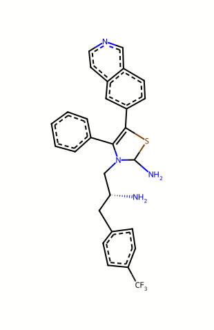 NC1SC(c2ccc3cnccc3c2)=C(c2ccccc2)N1C[C@H](N)Cc1ccc(C(F)(F)F)cc1